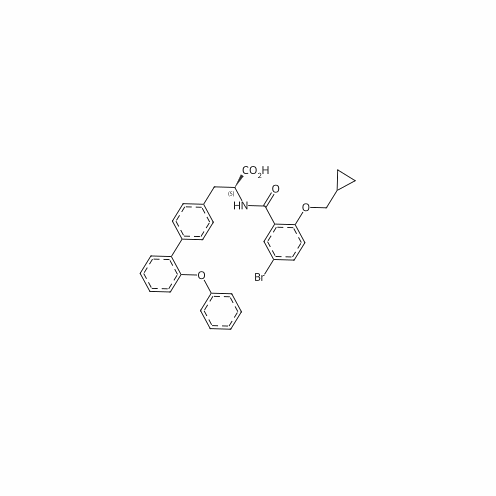 O=C(N[C@@H](Cc1ccc(-c2ccccc2Oc2ccccc2)cc1)C(=O)O)c1cc(Br)ccc1OCC1CC1